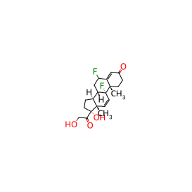 C[C@]12CCC(=O)C=C1C(F)C[C@H]1[C@@H]3CC[C@](O)(C(=O)CO)[C@@]3(C)C=C[C@@]12F